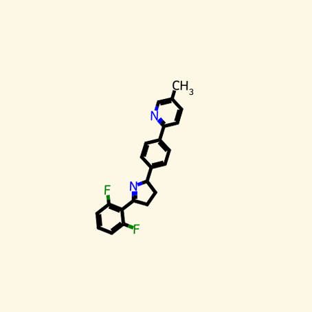 Cc1ccc(-c2ccc(C3CCC(c4c(F)cccc4F)=N3)cc2)nc1